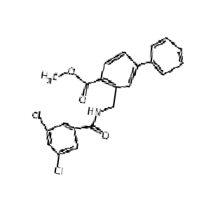 COC(=O)c1ccc(-c2ccccc2)cc1CNC(=O)c1cc(Cl)cc(Cl)c1